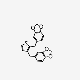 c1cc(Cc2ccc3c(c2)OCO3)c(Cc2ccc3c(c2)OCO3)s1